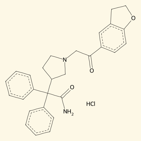 Cl.NC(=O)C(c1ccccc1)(c1ccccc1)C1CCN(CC(=O)c2ccc3c(c2)CCO3)C1